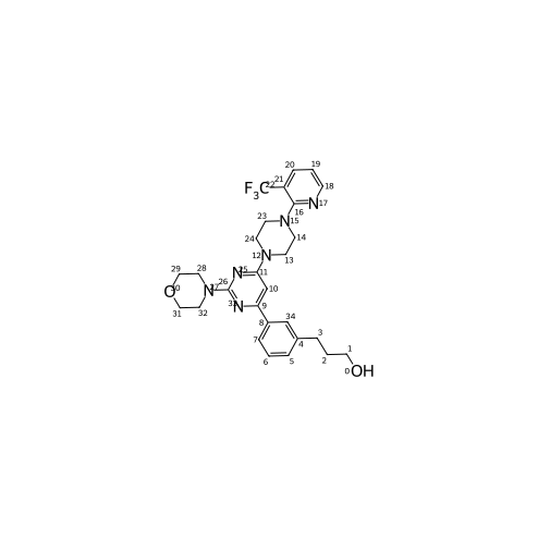 OCCCc1cccc(-c2cc(N3CCN(c4ncccc4C(F)(F)F)CC3)nc(N3CCOCC3)n2)c1